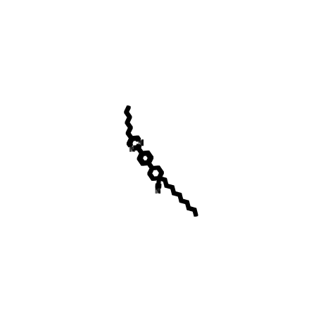 CCCCCCCCCCC1(C#N)CCC(c2ccc(-c3ncc(CCCCCC)cn3)cc2)CC1